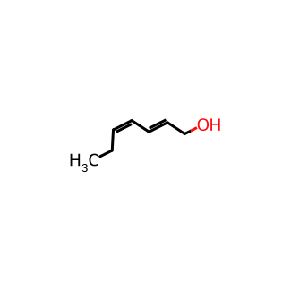 CC/C=C\C=C\CO